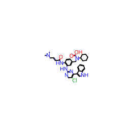 CN(C)C/C=C/C(=O)Nc1ccc(CN(C(=O)O)C2CCCCC2)cc1Nc1ncc(Cl)c(-c2c[nH]c3ccccc23)n1